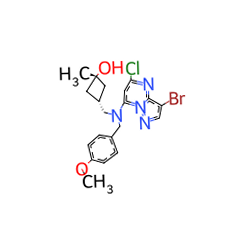 COc1ccc(CN(C[C@H]2C[C@@](C)(O)C2)c2cc(Cl)nc3c(Br)cnn23)cc1